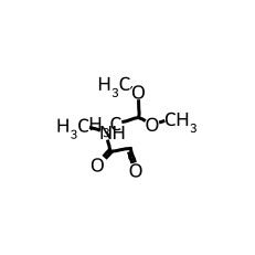 CNC(=O)C=O.COC(C)OC